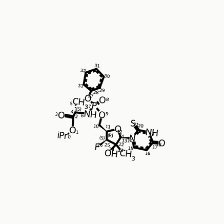 CC(C)OC(=O)[C@H](C)NP(=O)(OC[C@H]1O[C@@H](n2ccc(=O)[nH]c2=S)C(C)(O)[C@H]1F)Oc1ccccc1